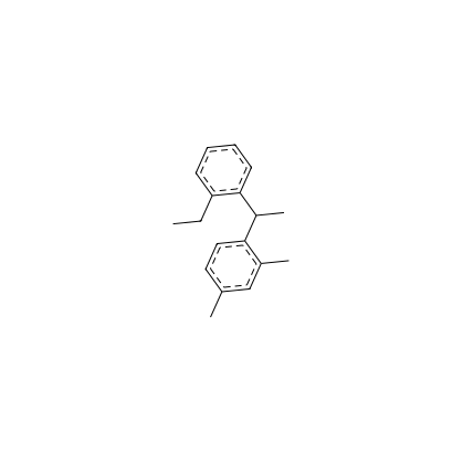 CCc1ccccc1C(C)c1ccc(C)cc1C